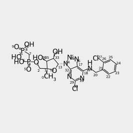 C[C@]1(COP(=O)(O)CP(=O)(O)O)O[C@@H](n2nnc3c(NCc4ccccc4Cl)nc(Cl)nc32)[C@H](O)[C@@H]1O